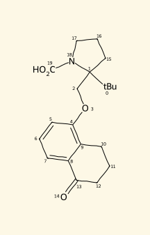 CC(C)(C)C1(COc2cccc3c2CCCC3=O)CCCN1C(=O)O